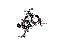 CCCCCCCCCS(=O)(=O)NCCNCc1c(O)cc2c3c1C(O)(O)c1ccc(cc1-3)[C@H]1NC(=O)[C@@H]3NC(=O)[C@H](CC(N)=O)NC(=O)[C@H](NC(=O)[C@@H](CC(C)C)NC)[C@H](O)c4ccc(c(C)c4)Oc4cc3cc(c4O[C@@H]3O[C@H](CN)[C@@H](O)[C@H](O)[C@H]3O)Oc3ccc(cc3Cl)[C@@H](O)[C@H](NC1=O)C(=O)N[C@@H]2C(=O)NC1C2CC3CC(C2)CC1C3